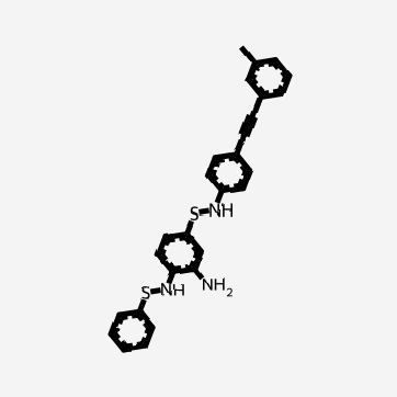 Cc1cccc(C#Cc2ccc(NSc3ccc(NSc4ccccc4)c(N)c3)cc2)c1